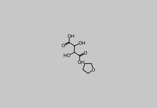 C1CCOC1.O=C(O)C(O)C(O)C(=O)O